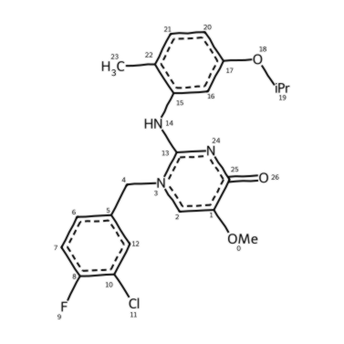 COc1cn(Cc2ccc(F)c(Cl)c2)c(Nc2cc(OC(C)C)ccc2C)nc1=O